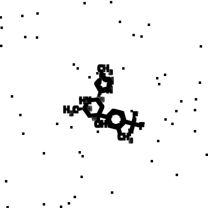 Cc1cc([C@@]2(O)C[C@@H](c3cn(C)nn3)N[C@@H](C)C2)ccc1C(F)(F)F